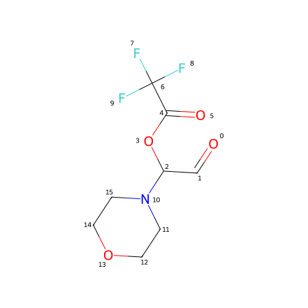 O=CC(OC(=O)C(F)(F)F)N1CCOCC1